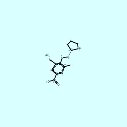 Cl.O=[N+]([O-])c1cc(I)c(OC[C@@H]2CCCN2)c(F)n1